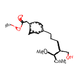 COC(OC)C(CO)CCCc1ccc(C(=O)OC(C)(C)C)cc1